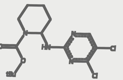 CC(C)(C)OC(=O)N1CCCCC1Nc1ncc(Cl)c(Cl)n1